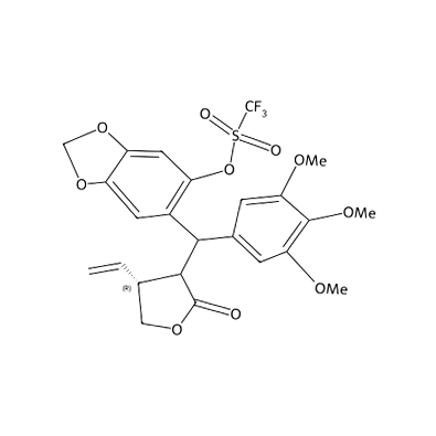 C=C[C@H]1COC(=O)C1C(c1cc(OC)c(OC)c(OC)c1)c1cc2c(cc1OS(=O)(=O)C(F)(F)F)OCO2